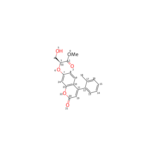 COC(=O)[C@H](CO)Oc1ccc2c(-c3ccccc3C)cc(=O)oc2c1